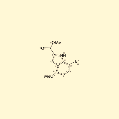 COC(=O)c1cc2c(OC)ccc(Br)c2[nH]1